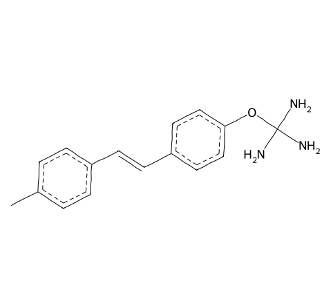 Cc1ccc(C=Cc2ccc(OC(N)(N)N)cc2)cc1